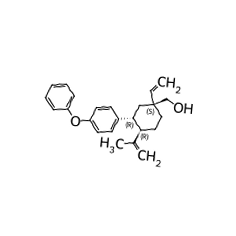 C=C[C@]1(CO)CC[C@@H](C(=C)C)[C@H](c2ccc(Oc3ccccc3)cc2)C1